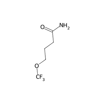 NC(=O)CCCOC(F)(F)F